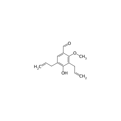 C=CCc1cc(C=O)c(OC)c(CC=C)c1O